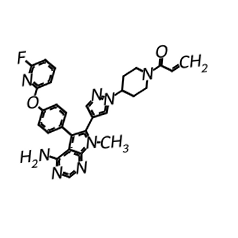 C=CC(=O)N1CCC(n2cc(-c3c(-c4ccc(Oc5cccc(F)n5)cc4)c4c(N)ncnc4n3C)cn2)CC1